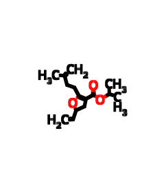 C=CC1CC(C(=O)OC(C)C)=C(CCC(=C)C)O1